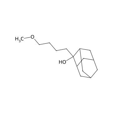 COCCCCC1(O)C2CC3CC(C2)CC1C3